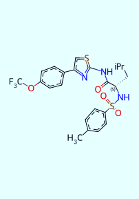 Cc1ccc(S(=O)(=O)N[C@@H](CC(C)C)C(=O)Nc2nc(-c3ccc(OC(F)(F)F)cc3)cs2)cc1